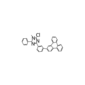 CN1C(Cl)=NC(c2cccc(-c3ccc4c5ccccc5c5ccccc5c4c3)c2)=NC1c1ccccc1